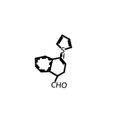 O=CC1CC=C([SH]2C=CC=C2)c2ccccc21